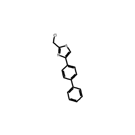 ClCc1nc(-c2ccc(-c3ccccc3)cc2)cs1